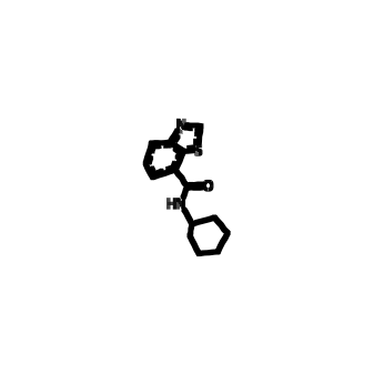 O=C(NC1CCCCC1)c1cccc2ncsc12